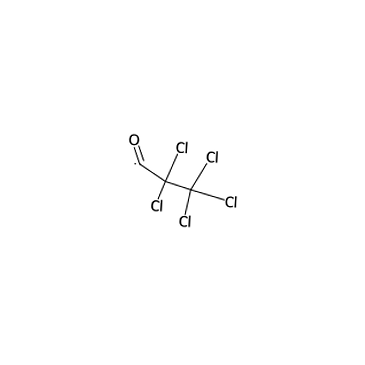 O=[C]C(Cl)(Cl)C(Cl)(Cl)Cl